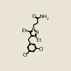 CCc1nn(CCC(N)=O)c(CC)c1Cc1cc(Cl)cc(Cl)c1